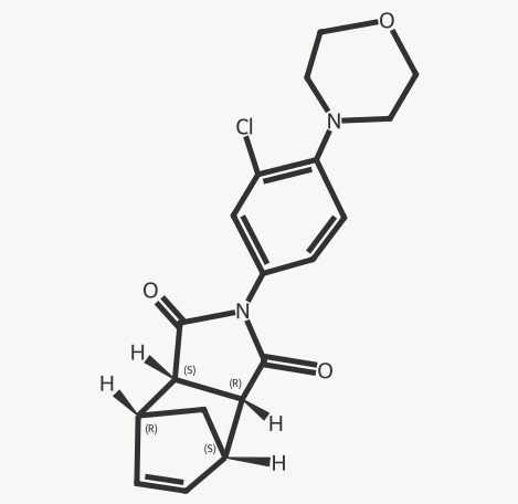 O=C1[C@@H]2[C@H](C(=O)N1c1ccc(N3CCOCC3)c(Cl)c1)[C@@H]1C=C[C@H]2C1